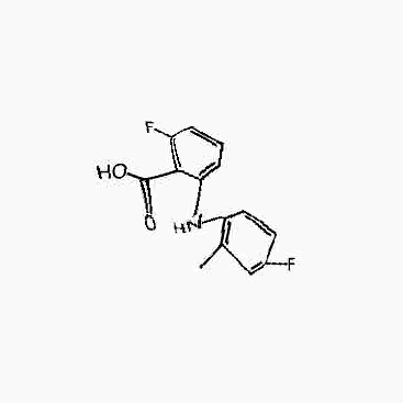 Cc1cc(F)ccc1Nc1cccc(F)c1C(=O)O